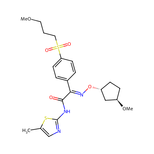 COCCCS(=O)(=O)c1ccc(/C(=N\O[C@@H]2CC[C@@H](OC)C2)C(=O)Nc2ncc(C)s2)cc1